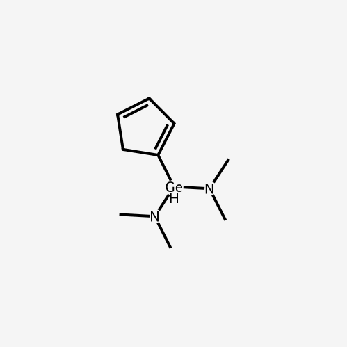 C[N](C)[GeH]([C]1=CC=CC1)[N](C)C